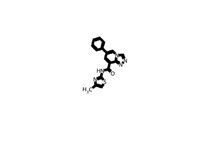 Cc1csc(NC(=O)c2cc(-c3ccccc3)cn3cnnc23)n1